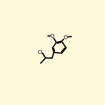 COc1ccc(CC(C)Cl)cc1OC